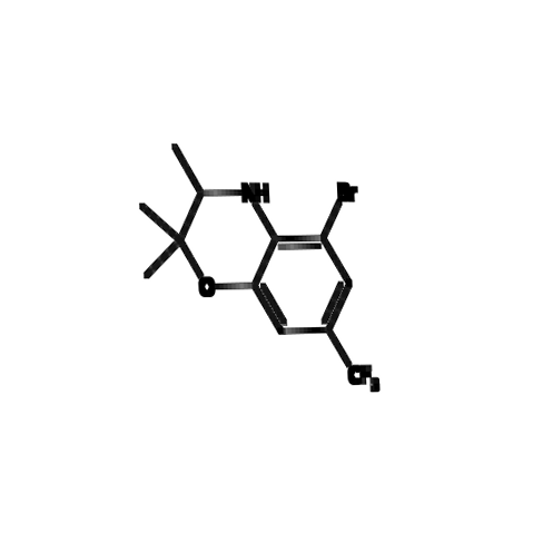 CC1Nc2c(Br)cc(C(F)(F)F)cc2OC1(C)C